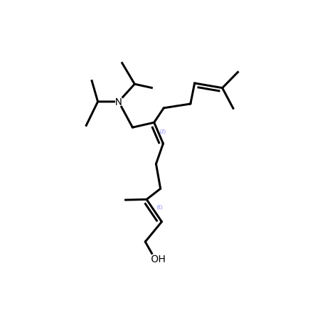 CC(C)=CCC/C(=C/CC/C(C)=C/CO)CN(C(C)C)C(C)C